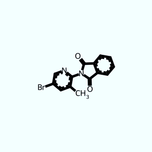 Cc1cc(Br)cnc1N1C(=O)c2ccccc2C1=O